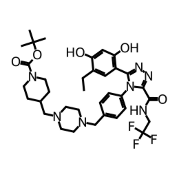 CCc1cc(-c2nnc(C(=O)NCC(F)(F)F)n2-c2ccc(CN3CCN(CC4CCN(C(=O)OC(C)(C)C)CC4)CC3)cc2)c(O)cc1O